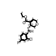 CCOC(=O)C1=CCOC[C@H]1SNc1ccc(F)cc1Cl